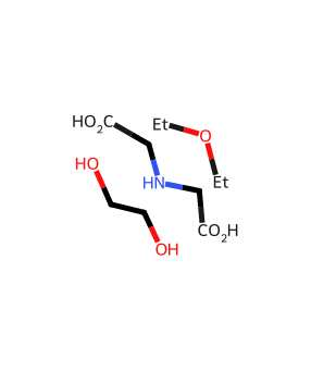 CCOCC.O=C(O)CNCC(=O)O.OCCO